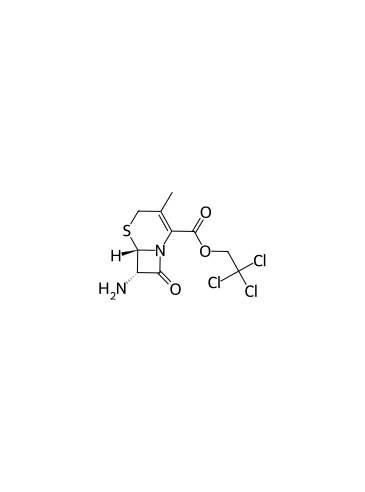 CC1=C(C(=O)OCC(Cl)(Cl)Cl)N2C(=O)[C@H](N)[C@@H]2SC1